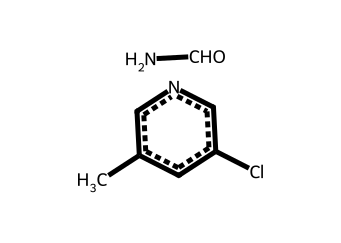 Cc1cncc(Cl)c1.NC=O